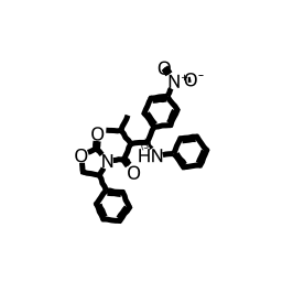 CC(C)C(C(=O)N1C(=O)OCC1c1ccccc1)[C@H](Nc1ccccc1)c1ccc([N+](=O)[O-])cc1